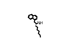 CCCCCCC[C@@H](Cc1cccc2ccccc12)NC